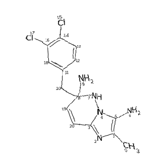 Cc1nc2n(c1N)NC(N)(Cc1ccc(Cl)c(Cl)c1)C=C2